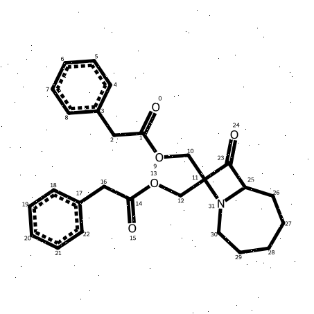 O=C(Cc1ccccc1)OCC1(COC(=O)Cc2ccccc2)C(=O)C2CCCCCN21